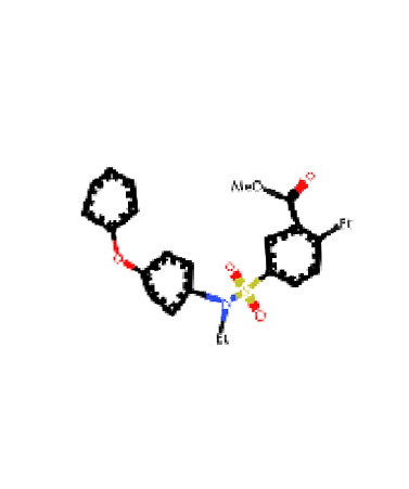 CCc1ccc(S(=O)(=O)N(CC)c2ccc(Oc3ccccc3)cc2)cc1C(=O)OC